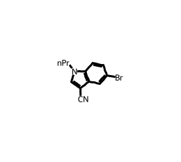 CCCn1cc(C#N)c2cc(Br)ccc21